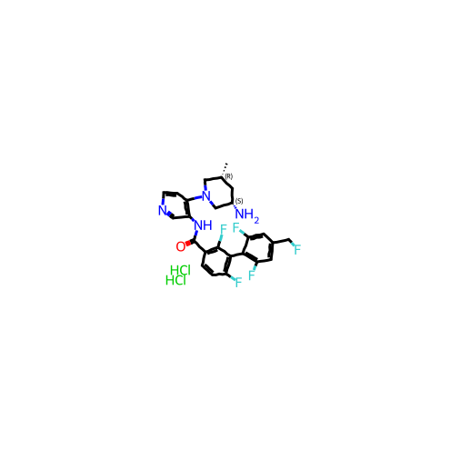 C[C@@H]1C[C@H](N)CN(c2ccncc2NC(=O)c2ccc(F)c(-c3c(F)cc(CF)cc3F)c2F)C1.Cl.Cl